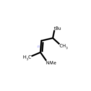 CN/C(C)=C\C(C)C(C)(C)C